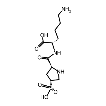 NCCCC[C@H](NC(=O)[C@@H]1C[C@H](S(=O)(=O)O)CN1)C(=O)O